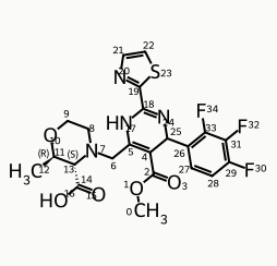 COC(=O)C1=C(CN2CCO[C@H](C)[C@H]2C(=O)O)NC(c2nccs2)=NC1c1ccc(F)c(F)c1F